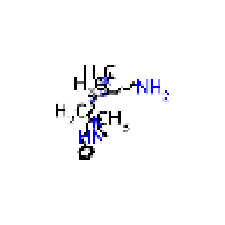 C=C(C\C=C/C=C(CCCCN)\C(C)=C\C)C(CCCc1ccccc1)N(C)C1CN1